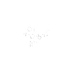 CO[C@H]1CN(c2ccn(-c3cc(-c4c(F)cccc4C#N)nc4c3C(=O)NC4)n2)C[C@H]1C